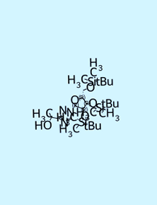 CC(O)c1ncn([C@@H]2O[C@H](CO[Si](C)(C)C(C)(C)C)[C@@H](O[Si](C)(C)C(C)(C)C)[C@H]2O[Si](C)(C)C(C)(C)C)n1